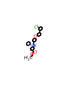 CCOC(=O)c1ccc2c(c1)nc(-c1ccc(Oc3cccc(-c4cccc(Cl)c4)c3)cc1)n2C1CCCCC1